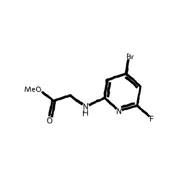 COC(=O)CNc1cc(Br)cc(F)n1